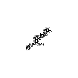 COc1cc2c(Oc3ccc(NC(=O)c4cc(C)ccn4)nc3)ccnc2cc1OCCCN1CCOCC1